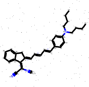 [C-]#[N+]\C(C#N)=C1/C(=C/C=C/C=C/c2ccc(N(CCCC)CCCC)cc2)Cc2ccccc21